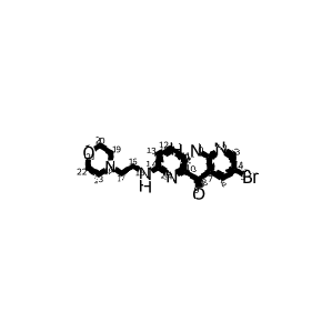 Nc1ncc(Br)cc1C(=O)c1cccc(NCCN2CCOCC2)n1